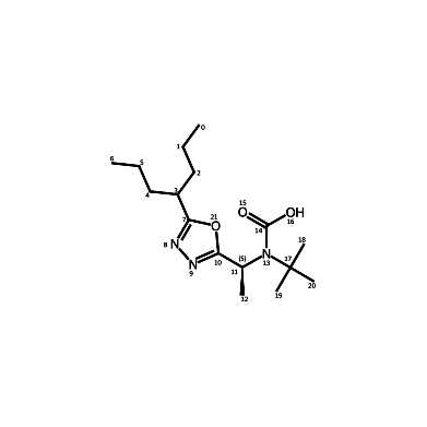 CCCC(CCC)c1nnc([C@H](C)N(C(=O)O)C(C)(C)C)o1